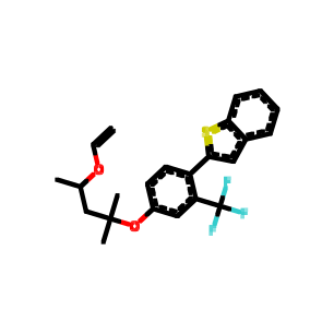 C=COC(C)CC(C)(C)Oc1ccc(-c2cc3ccccc3s2)c(C(F)(F)F)c1